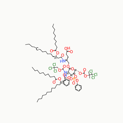 CCCCCCCCCCC[C@H](CC(=O)N[C@@H](CCC(=O)O)CO[C@H]1O[C@H](COC(=O)OC(C)(C)C(Cl)(Cl)Cl)[C@@H](OP(=O)(Oc2ccccc2)Oc2ccccc2)[C@H](OC(=O)C[C@@H](CCCCCCCCCCC)OC(=O)CCCCCCCCC)[C@H]1NC(=O)OCC(Cl)(Cl)Cl)OC(=O)CCCCCCCCC